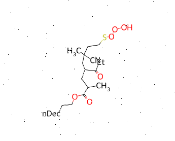 CCCCCCCCCCCCOC(=O)C(C)CC(CC(C)(C#N)CCSOOO)C(=O)CC